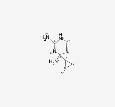 CC1CC1C1(N)C=CNC(N)=N1